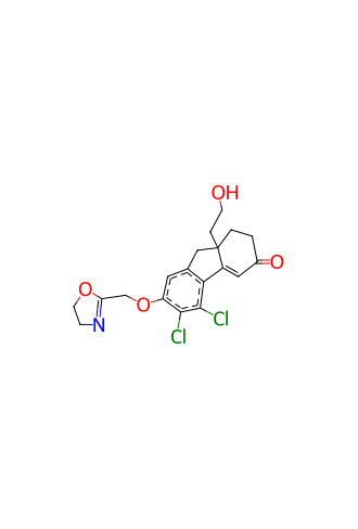 O=C1C=C2c3c(cc(OCC4=NCCO4)c(Cl)c3Cl)CC2(CCO)CC1